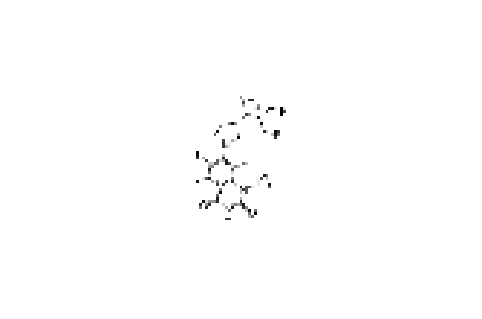 Cc1c(F)c(N2CCC(C(N)C(CF)CF)C2)c(C)c2c1c(=O)[nH]c(=O)n2C1CC1